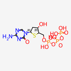 Nc1ncn([C@H]2C[C@@H](O)C(COP(=O)(O)OP(=O)(O)OP(=O)(O)O)S2)c(=O)n1